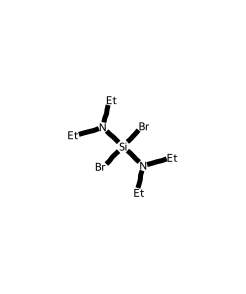 CCN(CC)[Si](Br)(Br)N(CC)CC